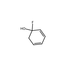 OC1(F)C=CC=CC1